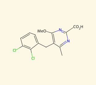 COc1nc(C(=O)O)nc(C)c1Cc1cccc(Cl)c1Cl